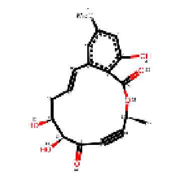 COc1cc(O)c2c(c1)/C=C/C[C@H](O)[C@H](O)C(=O)C#C[C@H](C)OC2=O